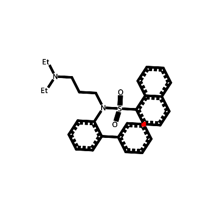 CCN(CC)CCCN(c1ccccc1-c1ccccc1)S(=O)(=O)c1cccc2ccccc12